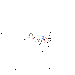 CCCCCc1ccccc1OC(=O)NCC1(C)CC(NC(=O)Oc2ccccc2CCCCC)CC(C)(C)C1